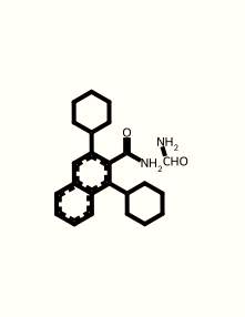 NC(=O)c1c(C2CCCCC2)cc2ccccc2c1C1CCCCC1.NC=O